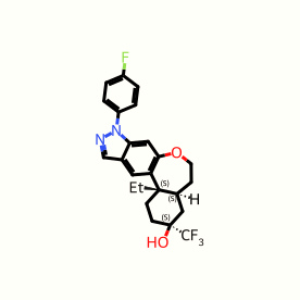 CC[C@]12CC[C@@](O)(C(F)(F)F)C[C@@H]1CCOc1cc3c(cnn3-c3ccc(F)cc3)cc12